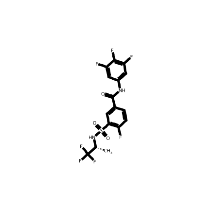 C[C@@H](NS(=O)(=O)c1cc(C(=O)Nc2cc(F)c(F)c(F)c2)ccc1F)C(F)(F)F